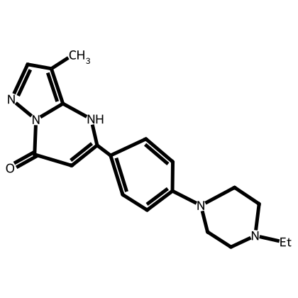 CCN1CCN(c2ccc(-c3cc(=O)n4ncc(C)c4[nH]3)cc2)CC1